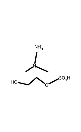 CN(C)C.N.O=S(=O)(O)OCCO